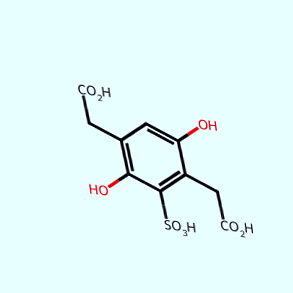 O=C(O)Cc1cc(O)c(CC(=O)O)c(S(=O)(=O)O)c1O